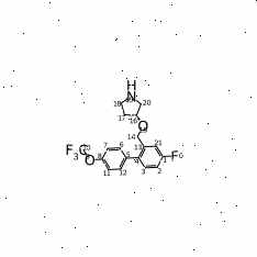 Fc1ccc(-c2ccc(OC(F)(F)F)cc2)c(CO[C@H]2CCNC2)c1